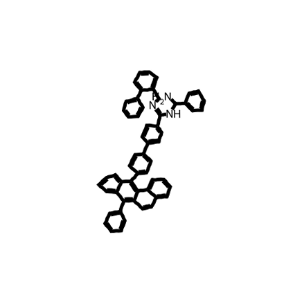 NC(N/C(=N\Cc1ccccc1-c1ccccc1)c1ccc(-c2ccc(-c3c4ccccc4c(-c4ccccc4)c4ccc5ccccc5c34)cc2)cc1)c1ccccc1